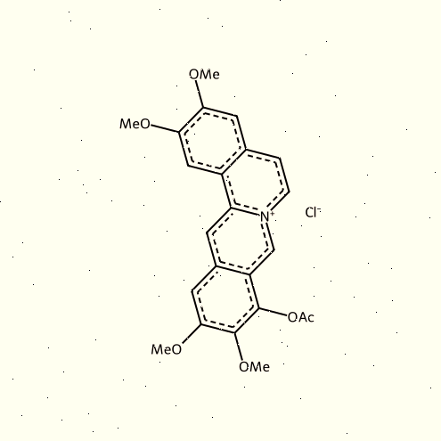 COc1cc2cc[n+]3cc4c(OC(C)=O)c(OC)c(OC)cc4cc3c2cc1OC.[Cl-]